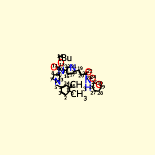 Cc1ccc(CN2CC[C@@H](N(C(=O)OC(C)(C)C)c3ccc(C=CC(=O)NOC4CCCCO4)nc3)C2)cc1C